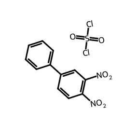 O=S(=O)(Cl)Cl.O=[N+]([O-])c1ccc(-c2ccccc2)cc1[N+](=O)[O-]